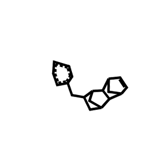 C1=CC2CC1C1C3CC(Cc4ccccc4)C(C3)C21